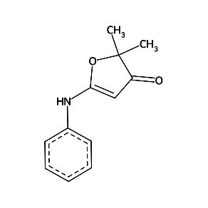 CC1(C)OC(Nc2ccccc2)=CC1=O